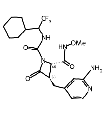 CONC(=O)[C@@H]1[C@@H](Cc2ccnc(N)c2)C(=O)N1C(=O)NC(C1CCCCC1)C(F)(F)F